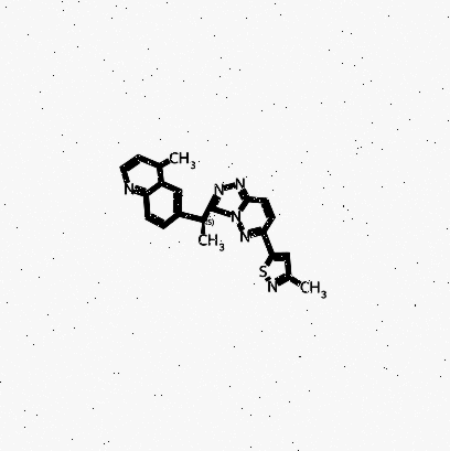 Cc1cc(-c2ccc3nnc([C@@H](C)C4=CC5C(=NC=CC5C)C=C4)n3n2)sn1